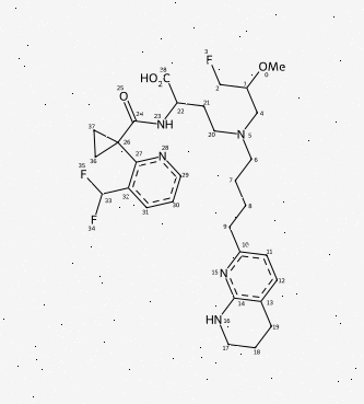 COC(CF)CN(CCCCc1ccc2c(n1)NCCC2)CCC(NC(=O)C1(c2ncccc2C(F)F)CC1)C(=O)O